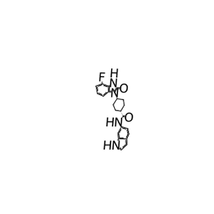 O=c1[nH]c2c(F)cccc2n1[C@H]1CC[C@@H](C(=O)Nc2ccc3cc[nH]c3c2)CC1